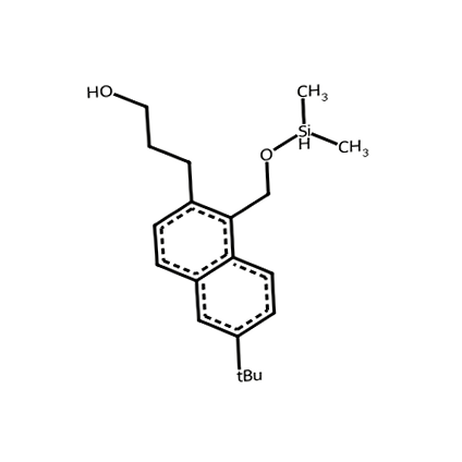 C[SiH](C)OCc1c(CCCO)ccc2cc(C(C)(C)C)ccc12